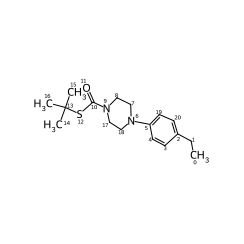 CCc1ccc(N2CCN(C(=O)SC(C)(C)C)CC2)cc1